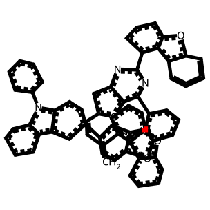 C=C(/C=C\c1cc2nc(-c3cccc4oc5c(c34)C=C=C=C5)nc(-c3cccc4oc5ccc(-c6ccc7c(c6)c6ccccc6n7-c6ccccc6)cc5c34)c2o1)c1cccc2oc3ccccc3c12